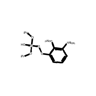 CCCCCCCCCc1cccc(O[O][Ti]([OH])([O]C(C)C)[O]C(C)C)c1CCCCCCCCC